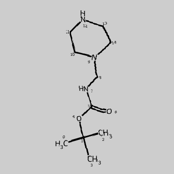 CC(C)(C)OC(=O)NCN1CCNCC1